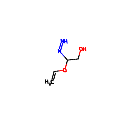 C=COC(CO)N=N